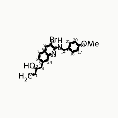 C=CC(O)Cc1ccc2cc(Br)c(NCc3ccc(OC)cc3)nc2c1